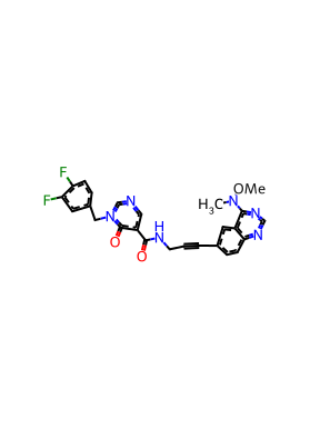 CON(C)c1ncnc2ccc(C#CCNC(=O)c3cncn(Cc4ccc(F)c(F)c4)c3=O)cc12